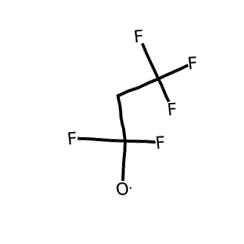 [O]C(F)(F)CC(F)(F)F